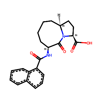 O=C(N[C@H]1CCCC[C@H]2CC[C@@H](C(=O)O)N2C1=O)c1cccc2ccccc12